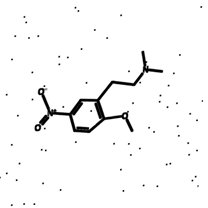 COc1ccc([N+](=O)[O-])cc1CCN(C)C